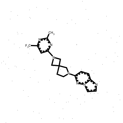 Cc1nc(N2CC3(CCN(c4ccc5nccn5n4)C3)C2)cc(C(F)(F)F)n1